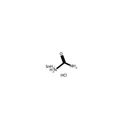 Cl.NC(N)=O.[SnH2]